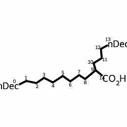 CCCCCCCCCCCCCCCCCCC(CCCCCCCCCCCCC)C(=O)O